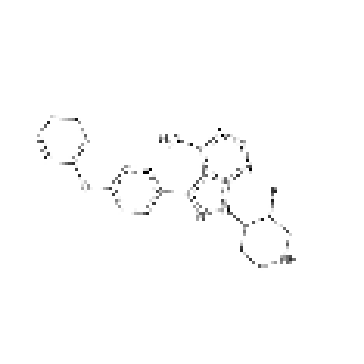 Nc1ncnc2c1c(-c1ccc(OC3=CCCC=C3)cc1)nn2C1CCNCC1F